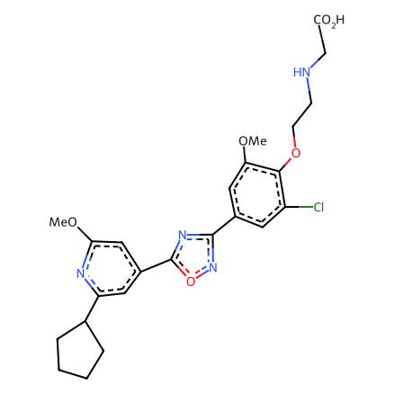 COc1cc(-c2nc(-c3cc(Cl)c(OCCNCC(=O)O)c(OC)c3)no2)cc(C2CCCC2)n1